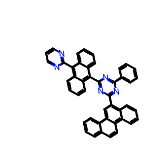 c1ccc(-c2nc(-c3c4ccccc4c(-c4ncccn4)c4ccccc34)nc(-c3cc4c5ccccc5ccc4c4ccccc34)n2)cc1